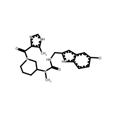 Cc1[nH]cnc1C(=O)N1CCCC(N(C)C(=O)NCc2cc3cc(Cl)ccc3[nH]2)C1